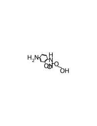 Nc1ccc(NC(=O)OCCO)c(O)c1